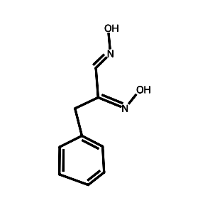 ON=CC(Cc1ccccc1)=NO